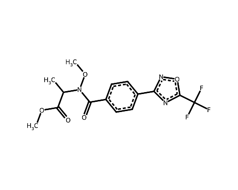 COC(=O)C(C)N(OC)C(=O)c1ccc(-c2noc(C(F)(F)F)n2)cc1